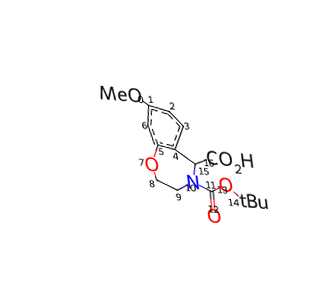 COc1ccc2c(c1)OCCN(C(=O)OC(C)(C)C)C2C(=O)O